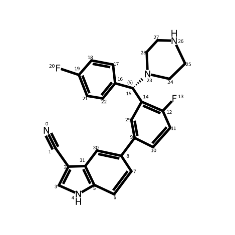 N#Cc1c[nH]c2ccc(-c3ccc(F)c([C@H](c4ccc(F)cc4)N4CCNCC4)c3)cc12